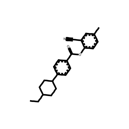 CCC1CCC(c2ccc(C(=O)Oc3ccc(C)cc3C#N)cc2)CC1